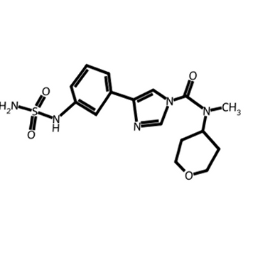 CN(C(=O)n1cnc(-c2cccc(NS(N)(=O)=O)c2)c1)C1CCOCC1